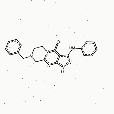 O=c1c2c(Nc3ccccc3)n[nH]c2nc2n1CCN(Cc1ccccc1)C2